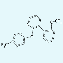 FC(F)(F)Oc1ccccc1-c1cccnc1Oc1ccc(C(F)(F)F)nc1